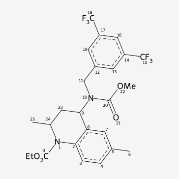 CCOC(=O)N1c2ccc(C)cc2C(N(Cc2cc(C(F)(F)F)cc(C(F)(F)F)c2)C(=O)OC)CC1C